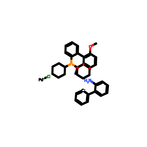 COc1cccc(OC)c1-c1ccccc1P(C1CCCCC1)C1CCCCC1.Nc1ccccc1-c1[c-]cccc1.[Cl][Pd+]